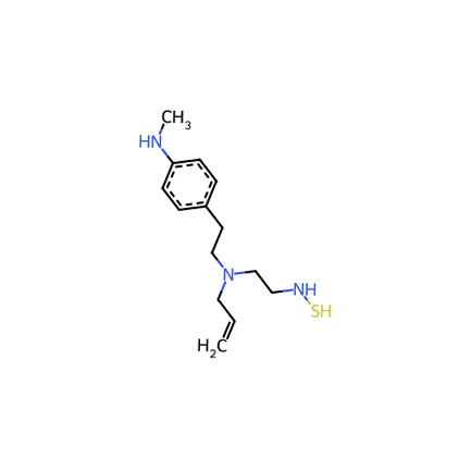 C=CCN(CCNS)CCc1ccc(NC)cc1